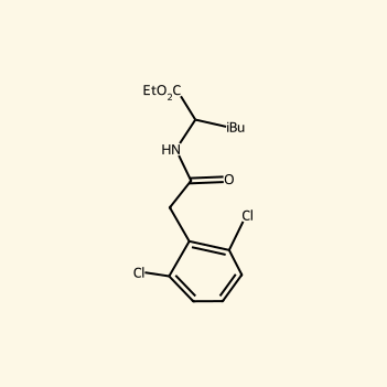 CCOC(=O)C(NC(=O)Cc1c(Cl)cccc1Cl)C(C)CC